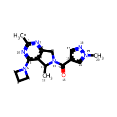 Cc1nc2c(c(N3CCC3)n1)C(C)N(C(=O)c1cnn(C)c1)C2